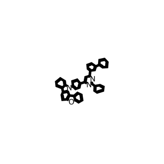 c1ccc(-c2cccc(-c3cc(-c4ccc(-n5c6ccccc6c6ccc7oc8ccccc8c7c65)cc4)nc(-c4ccccc4)n3)c2)cc1